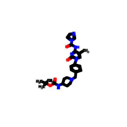 Cc1cn(-c2ccc(CN3CCC(NC(=O)OC(C)(C)C)CC3)cc2)c(=O)nc1NC(=O)n1ccnc1